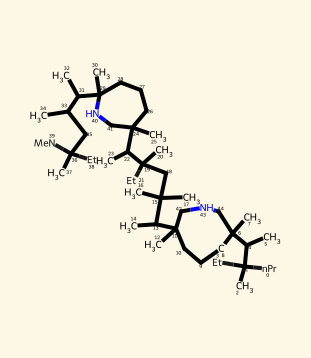 CCCC(C)(CC)C(C)C1(C)CCCC(C)(C(C)C(C)(C)CC(C)(CC)C(C)C2(C)CCCC(C)(C(C)C(C)CC(C)(CC)NC)NC2)CNC1